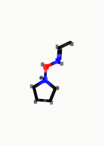 C[C]=NON1CCCC1